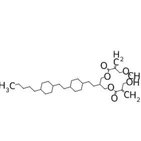 C=C(CO)C(=O)OCC(CCC1CCC(CCC2CCC(CCCCC)CC2)CC1)COC(=O)C(=C)COC